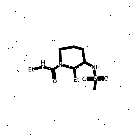 CCNC(=O)N1CCCC(NS(C)(=O)=O)C1CC